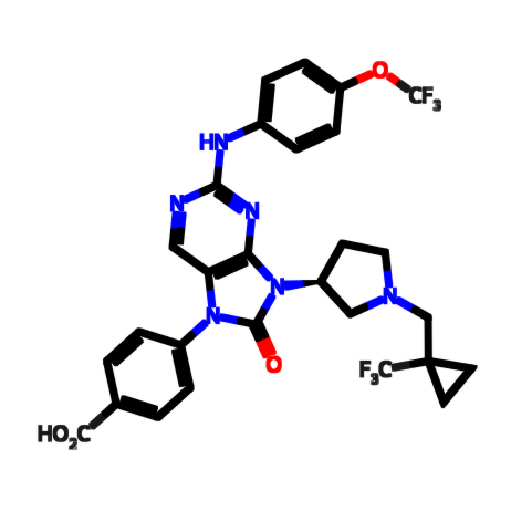 O=C(O)c1ccc(-n2c(=O)n([C@H]3CCN(CC4(C(F)(F)F)CC4)C3)c3nc(Nc4ccc(OC(F)(F)F)cc4)ncc32)cc1